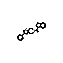 C=C(C1CCc2ccccc21)N1CCC2(CC1)CC(c1ccccc1)CO2